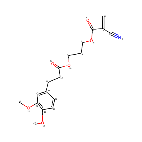 C=C(C#N)C(=O)OCCCOC(=O)CCc1ccc(OC)c(OC)c1